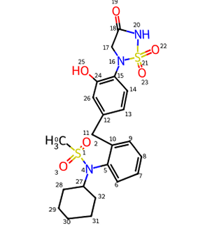 CS(=O)(=O)N(c1ccccc1Cc1ccc(N2CC(=O)NS2(=O)=O)c(O)c1)C1CCCCC1